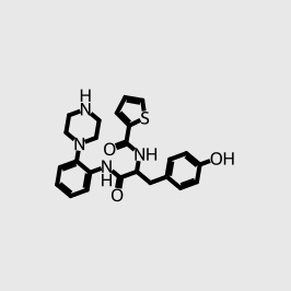 O=C(NC(Cc1ccc(O)cc1)C(=O)Nc1ccccc1N1CCNCC1)c1cccs1